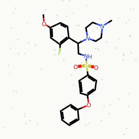 COc1ccc(C(CNS(=O)(=O)c2ccc(Oc3ccccc3)cc2)N2CCN(C)CC2)c(F)c1